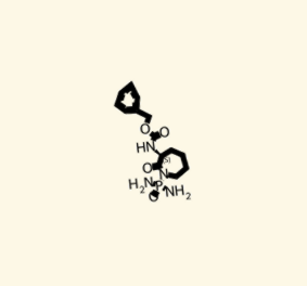 NP(N)(=O)N1CCCC[C@H](NC(=O)OCc2ccccc2)C1=O